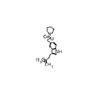 CN(C)CCc1c[nH]c2ccc(CS(=O)(=O)N3CCCCC3)cc12